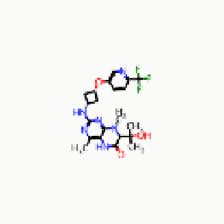 Cc1nc(N[C@H]2C[C@H](Oc3ccc(C(F)(F)F)nc3)C2)nc2c1NC(=O)C(C(C)(C)O)N2C